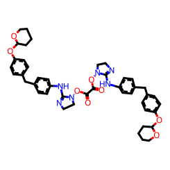 O=C(ON1CCN=C1Nc1ccc(Cc2ccc(OC3CCCCO3)cc2)cc1)C(=O)ON1CCN=C1Nc1ccc(Cc2ccc(OC3CCCCO3)cc2)cc1